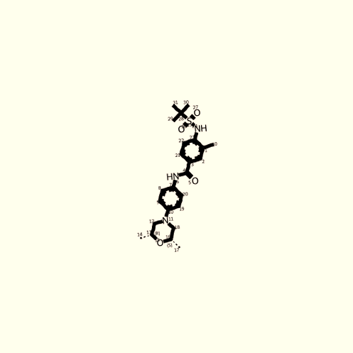 Cc1cc(C(=O)Nc2ccc(N3C[C@@H](C)O[C@@H](C)C3)cc2)ccc1NS(=O)(=O)C(C)(C)C